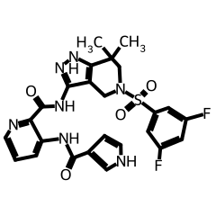 CC1(C)CN(S(=O)(=O)c2cc(F)cc(F)c2)Cc2c(NC(=O)c3ncccc3NC(=O)c3cc[nH]c3)n[nH]c21